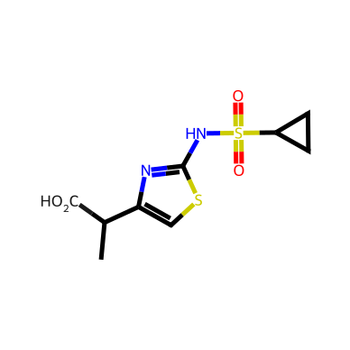 CC(C(=O)O)c1csc(NS(=O)(=O)C2CC2)n1